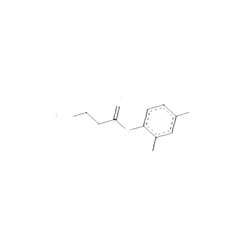 O=C(O)CCC(=O)Nc1ccc(Cl)cc1Cl